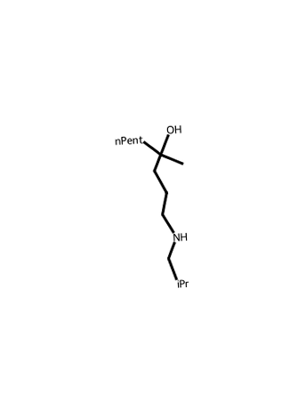 CCCCCC(C)(O)CCCNCC(C)C